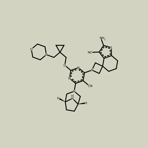 N#Cc1c(N2C[C@H]3CC[C@@H](C2)N3)nc(OCC2(CN3CCOCC3)CC2)nc1N1CC2(CCCc3sc(N)c(C#N)c32)C1